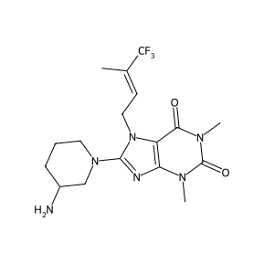 CC(=CCn1c(N2CCCC(N)C2)nc2c1c(=O)n(C)c(=O)n2C)C(F)(F)F